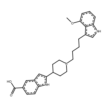 COc1cccc2[nH]cc(CCCCN3CCC(c4cc5cc(C(=O)O)ccc5[nH]4)CC3)c12